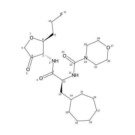 O=C(N[C@@H]1C(=O)CO[C@H]1CCF)[C@H](CC1CCCCCC1)NC(=O)N1CCOCC1